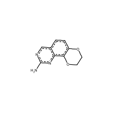 Nc1ncc2ccc3c(c2n1)OCCO3